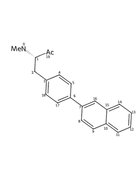 CN[C@@H](Cc1ccc(-c2ccc3ccccc3c2)cc1)C(C)=O